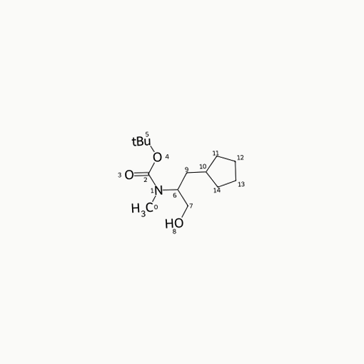 CN(C(=O)OC(C)(C)C)C(CO)CC1CCCC1